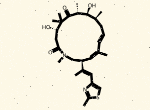 CC1=C[C@@H](C(C)=Cc2csc(C)n2)CN(C)C(=O)C[C@H](O)C(C)(C)C(=O)[C@H](C)[C@@H](O)[C@@H](C)C/C=C/1